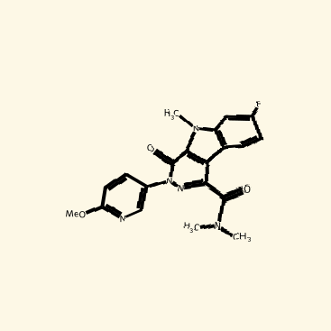 COc1ccc(-n2nc(C(=O)N(C)C)c3c4ccc(F)cc4n(C)c3c2=O)cn1